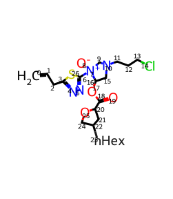 C=CCc1nnc([N+]2([O-])CN(CCCCl)CC2OC(=O)C2CC(CCCCCC)CO2)s1